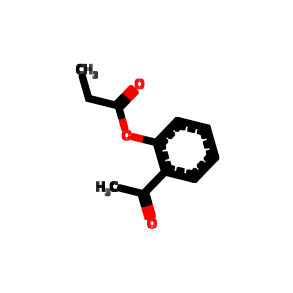 CCC(=O)Oc1ccccc1C(C)=O